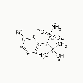 CC(C)(O)C(c1cccc(Br)c1)S(N)(=O)=O